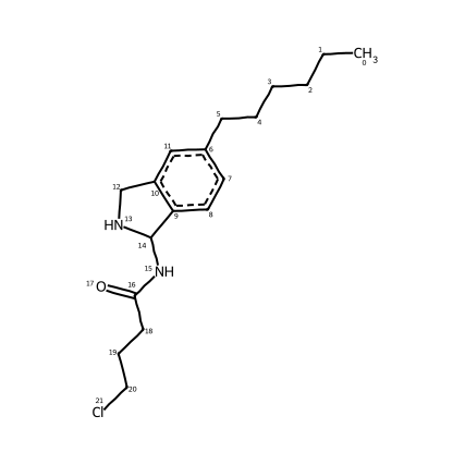 CCCCCCc1ccc2c(c1)CNC2NC(=O)CCCCl